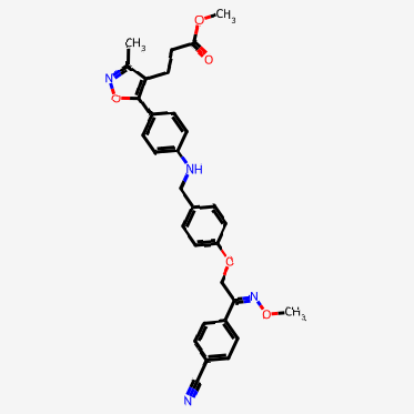 CON=C(COc1ccc(CNc2ccc(-c3onc(C)c3CCC(=O)OC)cc2)cc1)c1ccc(C#N)cc1